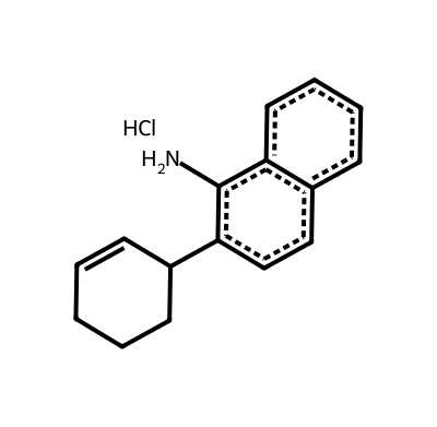 Cl.Nc1c(C2C=CCCC2)ccc2ccccc12